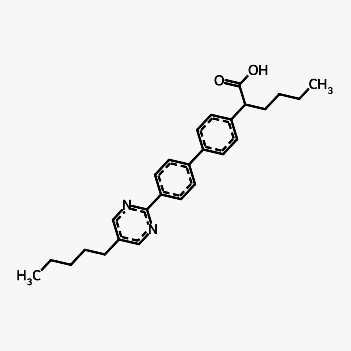 CCCCCc1cnc(-c2ccc(-c3ccc(C(CCCC)C(=O)O)cc3)cc2)nc1